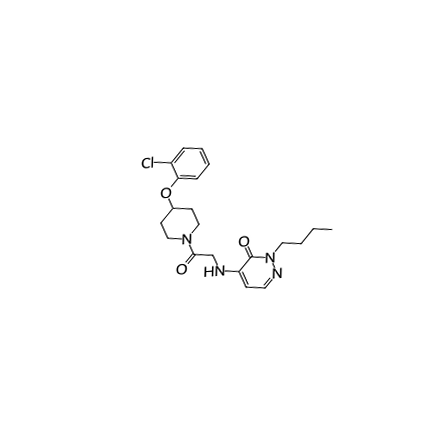 CCCCn1nccc(NCC(=O)N2CCC(Oc3ccccc3Cl)CC2)c1=O